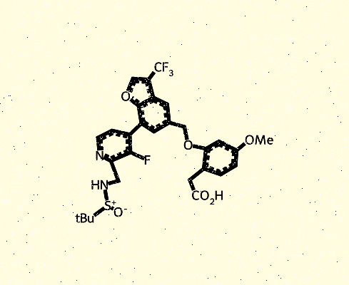 COc1ccc(CC(=O)O)c(OCc2cc(-c3ccnc(CN[S+]([O-])C(C)(C)C)c3F)c3occ(C(F)(F)F)c3c2)c1